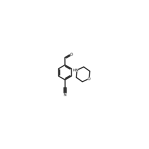 C1COCCN1.N#Cc1ccc(C=O)cc1